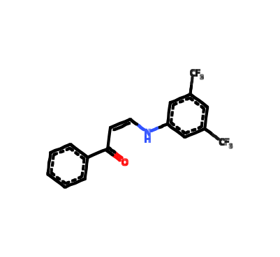 O=C(/C=C\Nc1cc(C(F)(F)F)cc(C(F)(F)F)c1)c1ccccc1